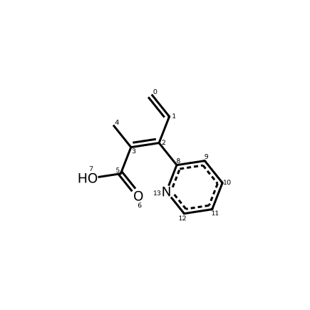 C=CC(=C(C)C(=O)O)c1ccccn1